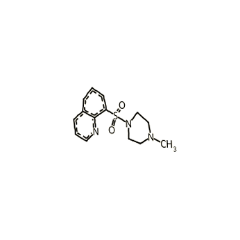 CN1CCN(S(=O)(=O)c2cccc3cccnc23)CC1